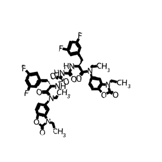 CCN(C(=O)[C@H](Cc1cc(F)cc(F)c1)NC(=O)NS(=O)(=O)N[C@@H](Cc1cc(F)cc(F)c1)C(=O)N(CC)c1ccc2oc(=O)n(CC)c2c1)c1ccc2oc(=O)n(CC)c2c1